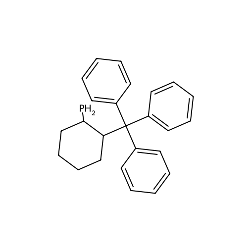 PC1CCCCC1C(c1ccccc1)(c1ccccc1)c1ccccc1